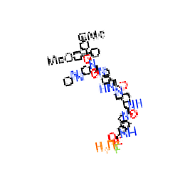 COc1ccc(C(OCN(CC(=O)N2CCc3c2ccc2[nH]c(C(=O)N4CCc5c4ccc4[nH]c(C(=O)N6CCc7c6ccc6[nH]c(C(=O)OP(F)P)cc76)cc54)cc32)c2ccc(N=Nc3ccccc3)cc2)(c2ccccc2)c2ccc(OC)cc2)cc1